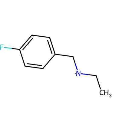 CC[N]Cc1ccc(F)cc1